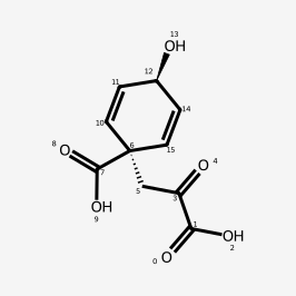 O=C(O)C(=O)C[C@]1(C(=O)O)C=C[C@@H](O)C=C1